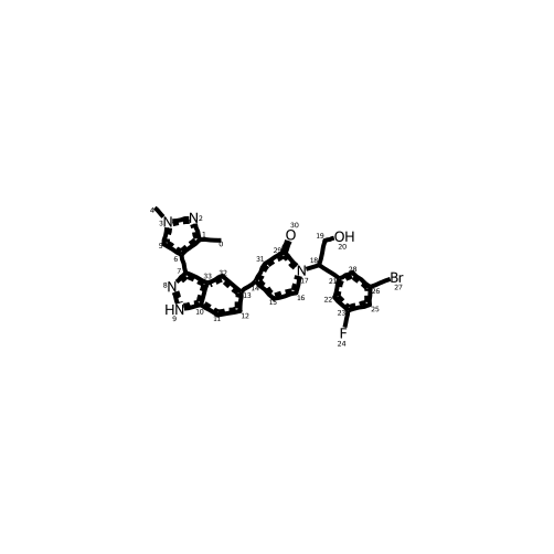 Cc1nn(C)cc1-c1n[nH]c2ccc(-c3ccn(C(CO)c4cc(F)cc(Br)c4)c(=O)c3)cc12